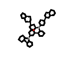 c1cc(-c2ccc3ccccc3c2)cc(N(c2ccc(-c3ccc4ccccc4c3)cc2)c2ccccc2-c2cccc(-n3c4ccccc4c4ccccc43)c2)c1